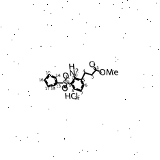 COC(=O)CCc1cccc(S(=O)(=O)c2ccccc2)c1N.Cl